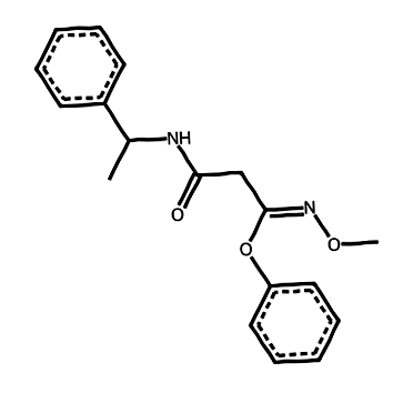 CON=C(CC(=O)NC(C)c1ccccc1)Oc1ccccc1